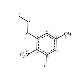 CCCc1cc(O)cc(C)c1N